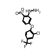 NNc1cc(Oc2ccc(C(F)(F)F)cc2Cl)ccc1[N+](=O)[O-]